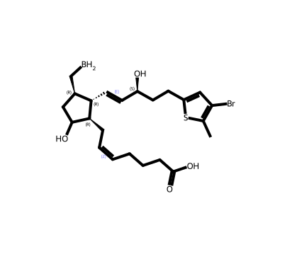 BC[C@@H]1CC(O)[C@H](C/C=C\CCCC(=O)O)[C@H]1/C=C/[C@@H](O)CCc1cc(Br)c(C)s1